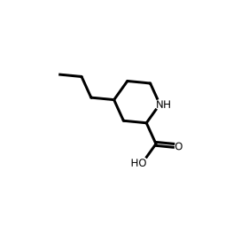 CCCC1CCNC(C(=O)O)C1